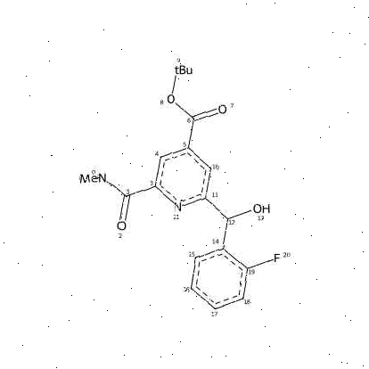 CNC(=O)c1cc(C(=O)OC(C)(C)C)cc(C(O)c2ccccc2F)n1